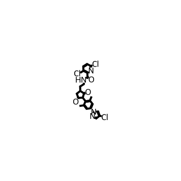 Cc1cc(-n2cc(Cl)cn2)cc(C)c1C1C(=O)CC(CCNC(=O)c2nc(Cl)ccc2Cl)C1=O